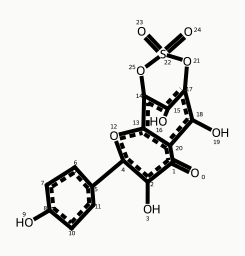 O=c1c(O)c(-c2ccc(O)cc2)oc2c3c(O)c(c(O)c12)OS(=O)(=O)O3